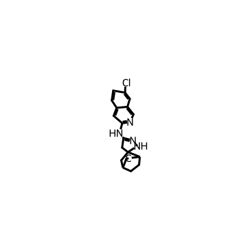 Clc1ccc2cc(NC3=NNC4(C3)CC3CCC4CC3)ncc2c1